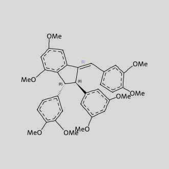 COc1cc(OC)cc([C@@H]2/C(=C\c3ccc(OC)c(OC)c3)c3cc(OC)cc(OC)c3[C@H]2c2ccc(OC)c(OC)c2)c1